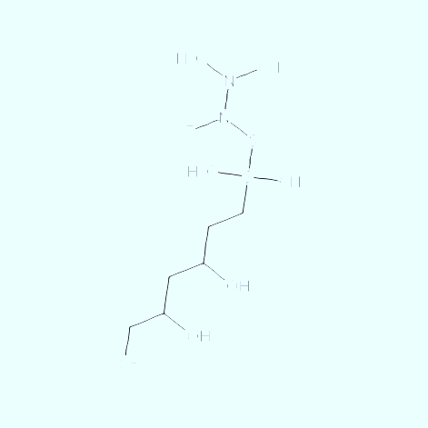 CN(C)N(F)SS(C)(C)CCC(O)CC(O)CC(F)(F)F